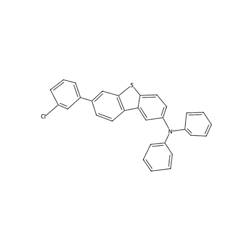 Clc1cccc(-c2ccc3c(c2)sc2ccc(N(c4ccccc4)c4ccccc4)cc23)c1